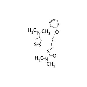 CN(C)C(=O)SCCCCOc1ccccc1.CN(C)C1CSSC1